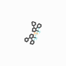 FC(F)(F)c1c(Pc2ccc(-c3ccccc3)c(-c3ccccc3)c2C(F)(F)F)ccc(-c2ccccc2)c1-c1ccccc1